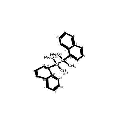 CO[Si](C)(c1cccc2ccccc12)[Si](C)(OC)c1cccc2ccccc12